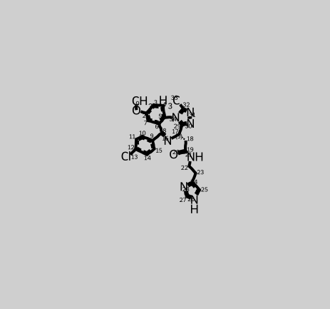 COc1ccc2c(c1)C(c1ccc(Cl)cc1)=N[C@@H](CC(=O)NCCc1c[nH]cn1)c1nnc(C)n1-2